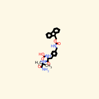 CC(C)(NC(=O)C(Cc1ccc(CNC(=O)OCC2c3ccccc3-c3ccccc32)cc1)NC(=O)O)C(N)=O